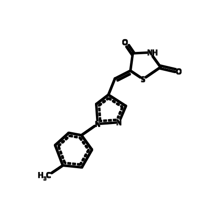 Cc1ccc(-n2cc(/C=C3\SC(=O)NC3=O)cn2)cc1